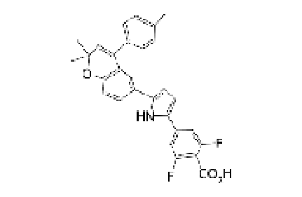 Cc1ccc(C2=CC(C)(C)Oc3ccc(-c4ccc(-c5cc(F)c(C(=O)O)c(F)c5)[nH]4)cc32)cc1